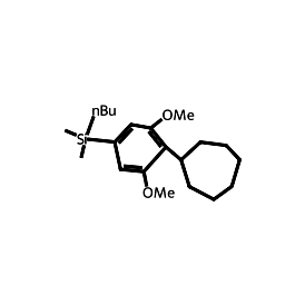 CCCC[Si](C)(C)c1cc(OC)c(C2CCCCCC2)c(OC)c1